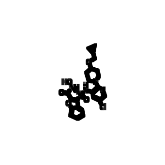 O=C(NO)c1oc2ccccc2c1S(=O)(=O)Nc1cc(Cl)cnc1N1CCC(OCC2CC2)CC1